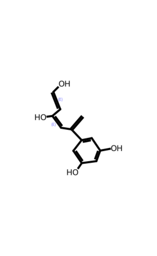 C=C(/C=C(O)\C=C\O)c1cc(O)cc(O)c1